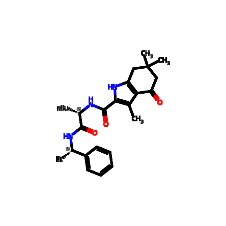 CCCC[C@H](NC(=O)c1[nH]c2c(c1C)C(=O)CC(C)(C)C2)C(=O)N[C@@H](CC)c1ccccc1